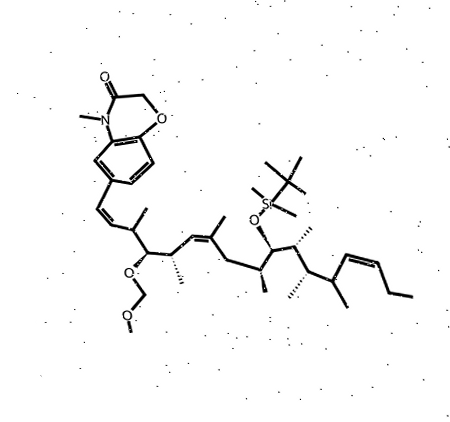 CC/C=C\C(C)[C@H](C)[C@@H](C)[C@H](O[Si](C)(C)C(C)(C)C)[C@@H](C)C/C(C)=C\[C@H](C)[C@@H](OCOC)C(C)/C=C\c1ccc2c(c1)N(C)C(=O)CO2